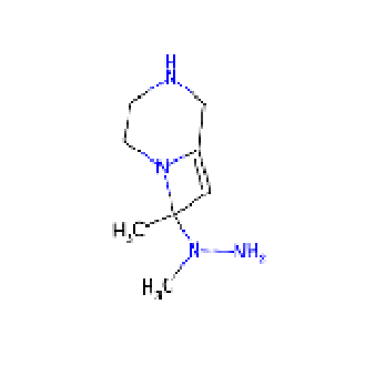 CN(N)C1(C)C=C2CNCCN21